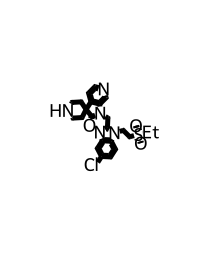 CCS(=O)(=O)CCn1c(CN2C(=O)C3(CCNCC3)c3ccncc32)nc2cc(Cl)ccc21